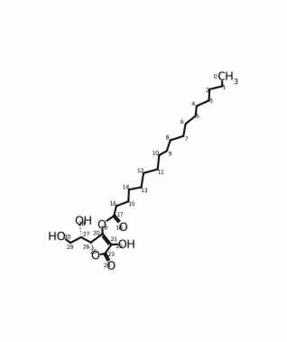 CCCCCCCCCCCCCCCCCC(=O)OC1=C(O)C(=O)O[C@@H]1[C@@H](O)CO